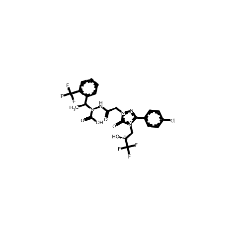 CC(c1ccccc1C(F)(F)F)N(NC(=O)Cn1nc(-c2ccc(Cl)cc2)n(C[C@H](O)C(F)(F)F)c1=O)C(=O)O